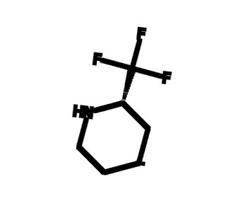 FC(F)(F)[C@@H]1C[CH]CCN1